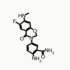 CNc1cc2c(cc1F)C(=O)N(c1ccc(N)c(C(N)=O)c1)CO2